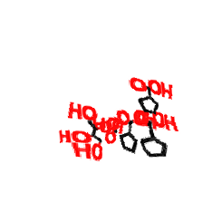 O=C(O)C1CCCC1.O=C(O)C1CCCC1.O=C(O)C1CCCC1.O=CO.OCC(O)C(O)CO